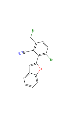 N#Cc1c(CBr)ccc(Br)c1-c1cc2ccccc2o1